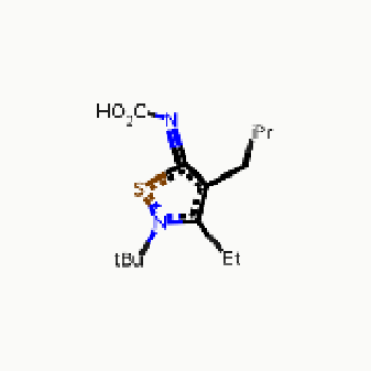 CCc1c(CC(C)C)c(=NC(=O)O)sn1C(C)(C)C